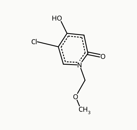 COCn1cc(Cl)c(O)cc1=O